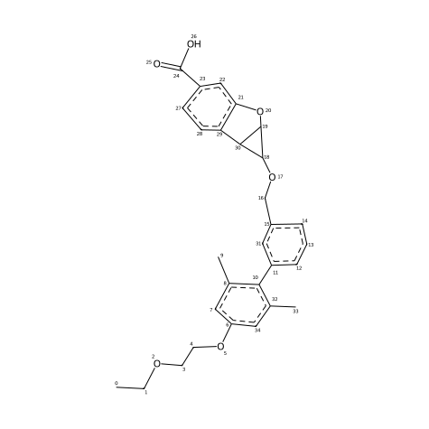 CCOCCOc1cc(C)c(-c2cccc(COC3C4Oc5cc(C(=O)O)ccc5C34)c2)c(C)c1